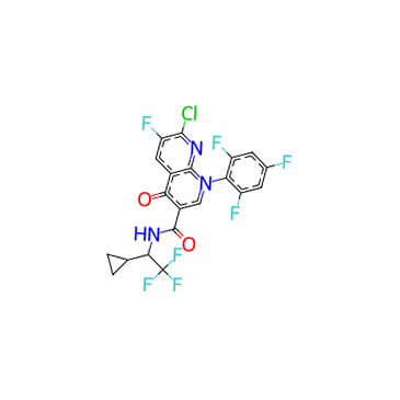 O=C(NC(C1CC1)C(F)(F)F)c1cn(-c2c(F)cc(F)cc2F)c2nc(Cl)c(F)cc2c1=O